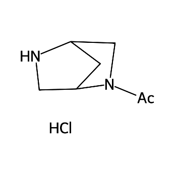 CC(=O)N1CC2CC1CN2.Cl